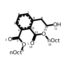 CCCCCCCCOC(=O)c1cccc(CCO)c1C(=O)OCCCCCCCC